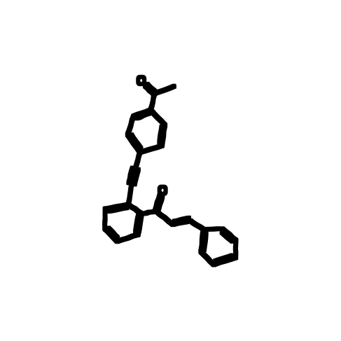 CC(=O)c1ccc(C#Cc2ccccc2C(=O)/C=C/c2ccccc2)cc1